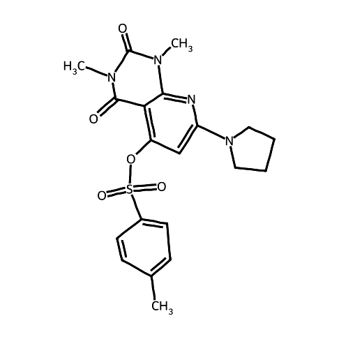 Cc1ccc(S(=O)(=O)Oc2cc(N3CCCC3)nc3c2c(=O)n(C)c(=O)n3C)cc1